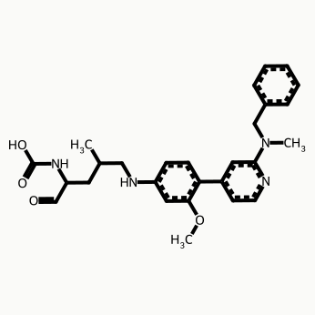 COc1cc(NCC(C)CC(C=O)NC(=O)O)ccc1-c1ccnc(N(C)Cc2ccccc2)c1